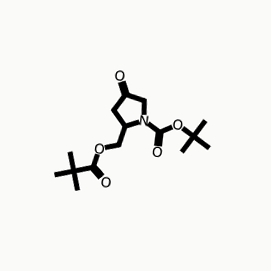 CC(C)(C)OC(=O)N1CC(=O)CC1COC(=O)C(C)(C)C